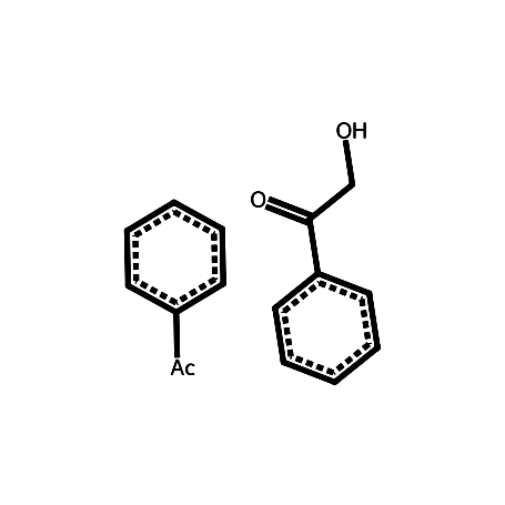 CC(=O)c1ccccc1.O=C(CO)c1ccccc1